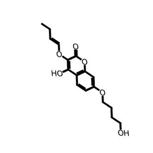 CC/C=C/Oc1c(O)c2ccc(OCCCCO)cc2oc1=O